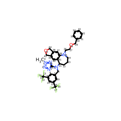 Cn1nnc(N(Cc2cc(C(F)(F)F)cc(C(F)(F)F)c2)C2CCCN(CCOCc3ccccc3)c3cc4c(cc32)COC4)n1